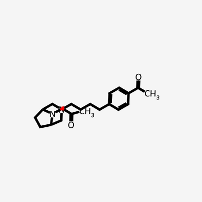 CC(=O)CN1C2CCC1CN(CCCCc1ccc(C(C)=O)cc1)C2